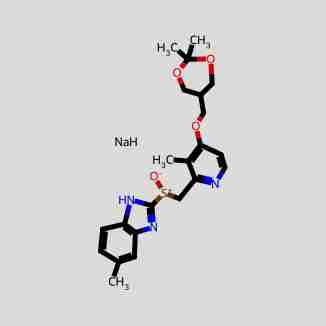 Cc1ccc2[nH]c([S+]([O-])Cc3nccc(OCC4COC(C)(C)OC4)c3C)nc2c1.[NaH]